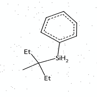 CCC(C)(CC)[SiH2]c1ccccc1